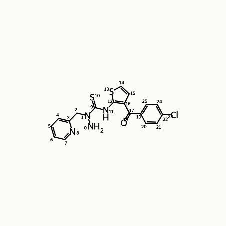 NN(Cc1ccccn1)C(=S)Nc1sccc1C(=O)c1ccc(Cl)cc1